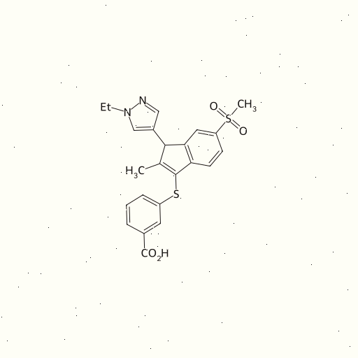 CCn1cc(C2C(C)=C(Sc3cccc(C(=O)O)c3)c3ccc(S(C)(=O)=O)cc32)cn1